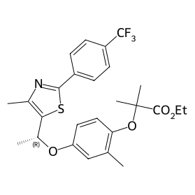 CCOC(=O)C(C)(C)Oc1ccc(O[C@H](C)c2sc(-c3ccc(C(F)(F)F)cc3)nc2C)cc1C